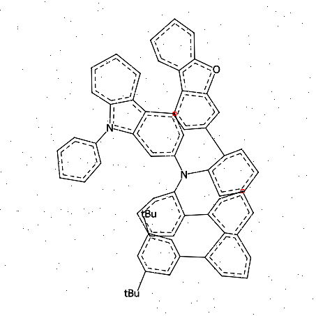 CC(C)(C)c1cc(-c2cccc3cccc(-c4ccccc4N(c4ccc5c6ccccc6n(-c6ccccc6)c5c4)c4ccccc4-c4ccc5c(c4)oc4ccccc45)c23)cc(C(C)(C)C)c1